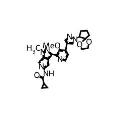 COc1c(-c2cnn([C@H]3CCCC34OCCO4)c2)ccnc1-c1nn(C)c2cnc(NC(=O)C3CC3)cc12